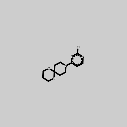 Clc1nccc(N2CCC3(CC2)OCCCO3)n1